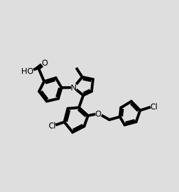 Cc1ccc(-c2cc(Cl)ccc2OCc2ccc(Cl)cc2)n1-c1cccc(C(=O)O)c1